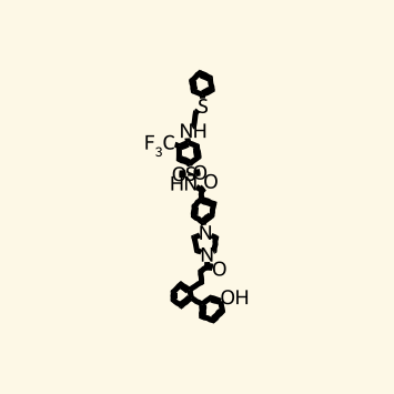 O=C(NS(=O)(=O)c1ccc(NCCSc2ccccc2)c(C(F)(F)F)c1)c1ccc(N2CCN(C(=O)CCc3ccccc3-c3cccc(O)c3)CC2)cc1